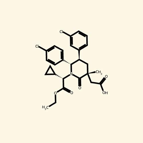 CCOC(=O)[C@H](C1CC1)N1C(=O)[C@@](C)(CC(=O)O)C[C@H](c2cccc(Cl)c2)[C@H]1c1ccc(Cl)cc1